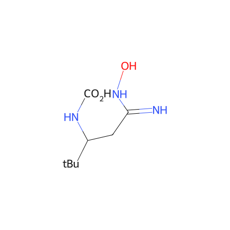 CC(C)(C)C(CC(=N)NO)NC(=O)O